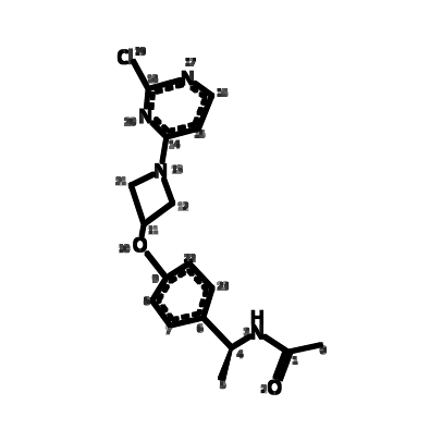 CC(=O)N[C@@H](C)c1ccc(OC2CN(c3ccnc(Cl)n3)C2)cc1